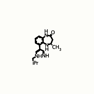 CC(C)CN/C=C(\C=N)c1cccc2c1N[C@H](C)CC(=O)N2